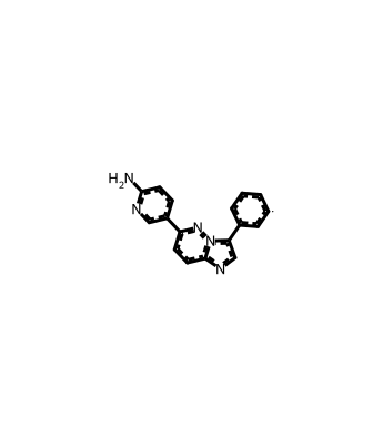 Nc1ccc(-c2ccc3ncc(-c4c[c]ccc4)n3n2)cn1